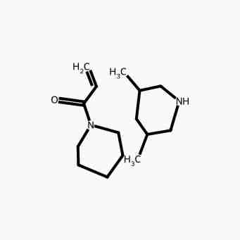 C=CC(=O)N1CCCCC1.CC1CNCC(C)C1